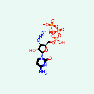 [N-]=[N+]=N[C@H]1[C@@H](O)[C@H](n2ccc(N)nc2=O)O[C@@H]1COP(=O)(O)OP(=O)(O)OP(=O)(O)O